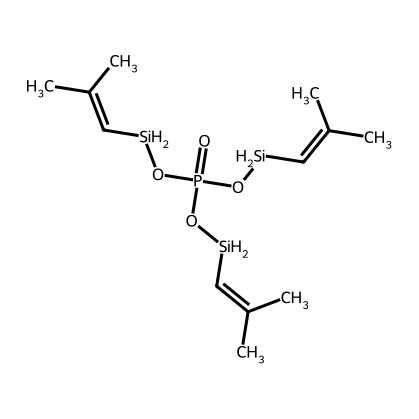 CC(C)=C[SiH2]OP(=O)(O[SiH2]C=C(C)C)O[SiH2]C=C(C)C